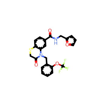 O=C(NCc1ccco1)c1ccc2c(c1)N(Cc1ccccc1OC(F)(F)F)C(=O)CS2